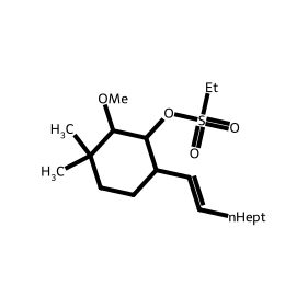 CCCCCCCC=CC1CCC(C)(C)C(OC)C1OS(=O)(=O)CC